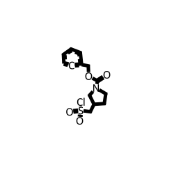 O=C(OCc1ccccc1)N1CCC(CS(=O)(=O)Cl)C1